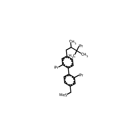 CSCc1ccc(-c2ccc(CC(C)C(C)(C)C(C)C)cc2C(C)C)c(C(C)C)c1